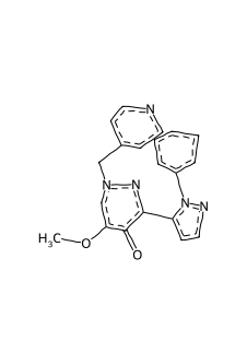 COc1cn(Cc2ccncc2)nc(-c2ccnn2-c2ccccc2)c1=O